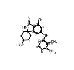 CCCCC1CCC2(CC1)NC(=O)c1c(C#N)cc(Nc3ncnc(N)c3C)cc12